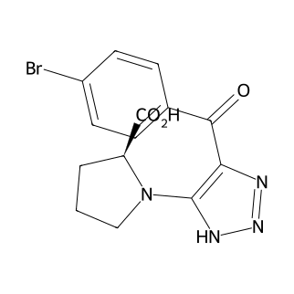 O=C(c1ccc(Br)cc1)c1nn[nH]c1N1CCC[C@H]1C(=O)O